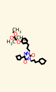 CCOC(=O)C(C)(C)Oc1cccc(CCCn2nc(C3CCCC3)c(=O)n(CCCC3CCCCC3)c2=O)c1